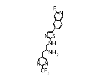 NC(CNc1ncc(-c2ccc3cnc(F)cc3c2)s1)Cc1cnc(C(F)(F)F)nc1